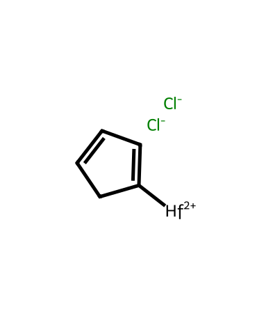 [Cl-].[Cl-].[Hf+2][C]1=CC=CC1